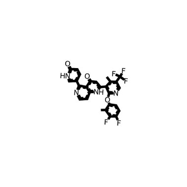 Cc1c(Oc2ncc(C(F)(F)F)c(C)c2-c2cc(=O)c3c(-c4ccc(=O)[nH]c4)nccc3[nH]2)ccc(F)c1F